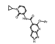 CC(C)Oc1nc2n[nH]cc2cc1C(=O)Nc1cccn(C2CC2)c1=O